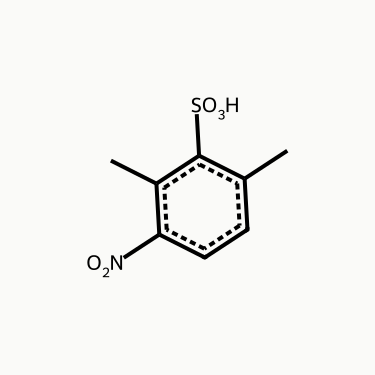 Cc1ccc([N+](=O)[O-])c(C)c1S(=O)(=O)O